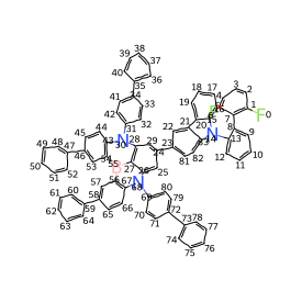 Fc1cccc(F)c1-c1ccccc1-n1c2ccccc2c2cc(-c3cc4c5c(c3)N(c3ccc(-c6ccccc6)cc3)c3ccc(-c6ccccc6)cc3B5c3cc(-c5ccccc5)ccc3N4c3ccc(-c4ccccc4)cc3)ccc21